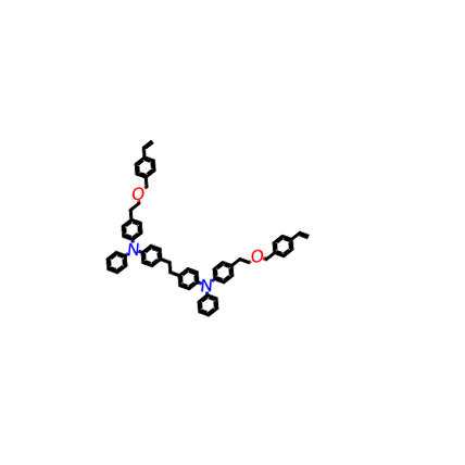 C=Cc1ccc(COCCc2ccc(N(c3ccccc3)c3ccc(CCc4ccc(N(c5ccccc5)c5ccc(CCOCc6ccc(C=C)cc6)cc5)cc4)cc3)cc2)cc1